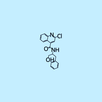 O=C(NC(CO)Cc1ccccc1)c1cc(Cl)nc2ccccc12